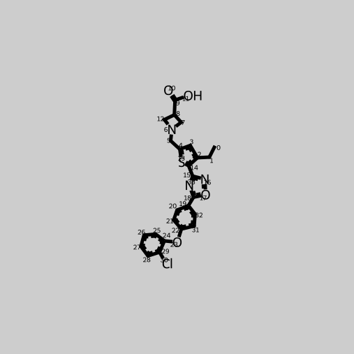 CCc1cc(CN2CC(C(=O)O)C2)sc1-c1noc(-c2ccc(Oc3ccccc3Cl)cc2)n1